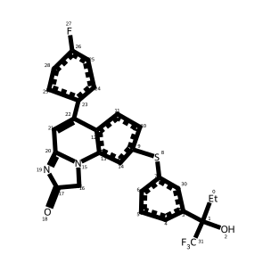 CCC(O)(c1cccc(Sc2ccc3c(c2)N2CC(=O)N=C2C=C3c2ccc(F)cc2)c1)C(F)(F)F